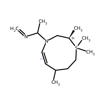 C=NC(C)N1/C=C\C(C)CCS(C)(C)[C@H](C)C1